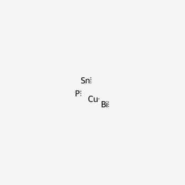 [Bi].[Cu].[P].[Sn]